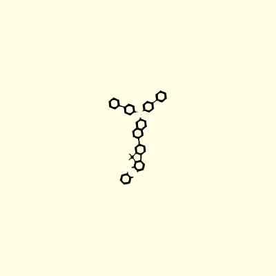 CC1(C)c2cc(-c3ccc4cc(N(c5ccc(-c6ccccc6)cc5)c5ccc(-c6ccccc6)cc5)ccc4c3)ccc2-c2ccc3c(c21)Sc1ccccc1S3